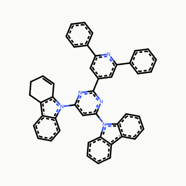 C1=Cc2c(c3ccccc3n2-c2cc(-n3c4ccccc4c4ccccc43)nc(-c3cc(-c4ccccc4)nc(-c4ccccc4)c3)n2)CC1